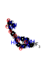 CC(=O)N[C@@H]1C[C@H](NC(C)(C)C)CC[C@@H]1N1CC[C@H](Nc2nc(C3CCN(C(=O)[C@H]4CC[C@H](NC(=O)CCCO[C@H]5CC[C@H](OCCNC(=O)[C@H]6CC(=O)N(C)[C@@H]6c6cccnc6)CC5)CC4)CC3)nc3ccc(C(F)(F)F)cc23)C1=O